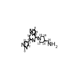 Cn1cc(-c2cn3nccc3c(N3CCC(CN)CC3)n2)cn1